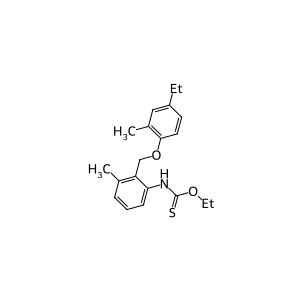 CCOC(=S)Nc1cccc(C)c1COc1ccc(CC)cc1C